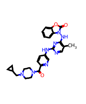 Cc1cnc(Nc2ccc(C(=O)N3CCN(CC4CC4)CC3)nc2)nc1Nn1c(=O)oc2ccccc21